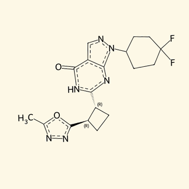 Cc1nnc([C@@H]2CC[C@H]2c2nc3c(cnn3C3CCC(F)(F)CC3)c(=O)[nH]2)o1